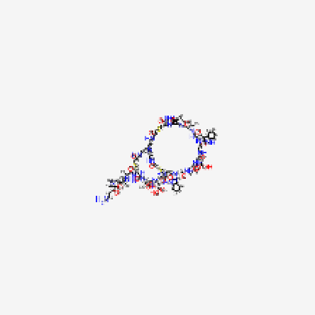 CC(C)[C@@H]1NC(=O)[C@H](Cc2c[nH]c3ccccc23)NC(=O)[C@@H]2CSCC(=O)NCCN(CCNC(=O)CSC[C@@H](C(N)=O)NC(=O)[C@@H]3CCCN3C(=O)[C@H](C(C)C)NC(=O)[C@H](Cc3c[nH]c4ccccc34)NC(=O)CNC(=O)[C@H](CC(=O)O)NC1=O)CCNC(=O)CSC[C@H](NC(=O)[C@H](C)NC(C)(C)C(=O)CN(C)C(C)(C)C(=O)CCN)C(=O)N[C@@H]([C@@H](C)O)C(=O)N[C@@H](CCC(=O)O)C(=O)N2